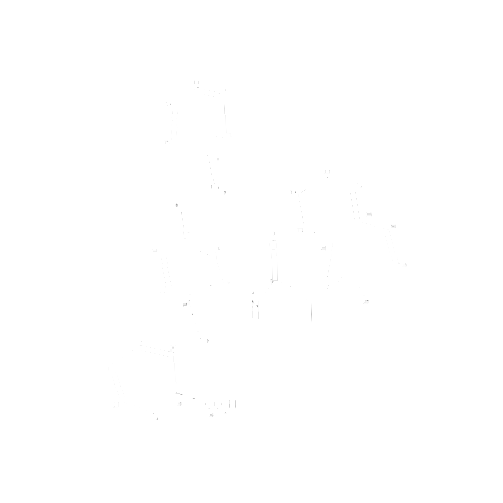 CC(C(=O)Nc1cc(COc2ccccc2)ccc1Cc1ccccc1C(=O)O)c1cccc2ccccc12